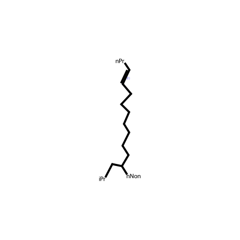 [CH2]CC/C=C/CCCCCCCC(CCCCCCCC[CH2])CC(C)C